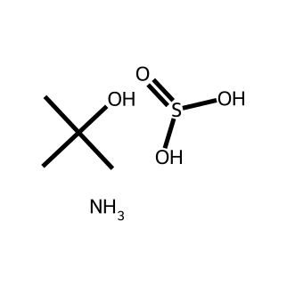 CC(C)(C)O.N.O=S(O)O